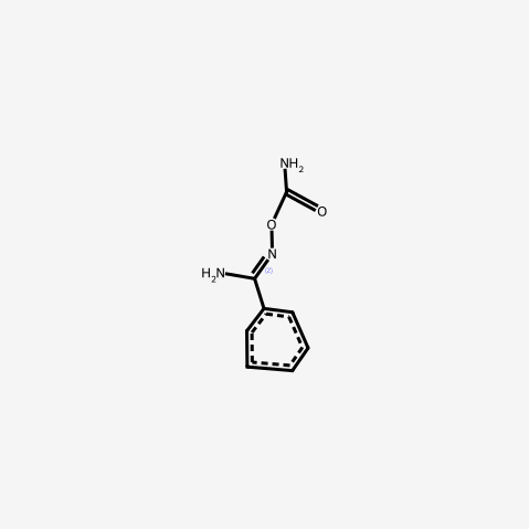 NC(=O)O/N=C(\N)c1ccccc1